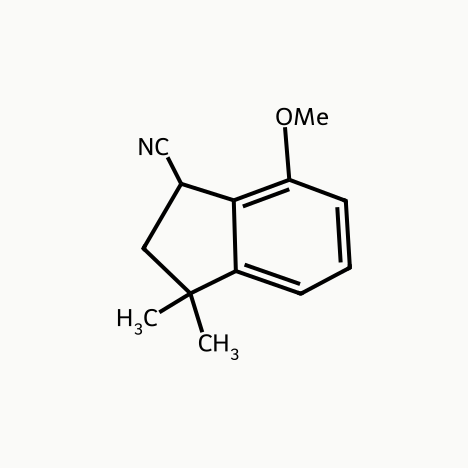 COc1cccc2c1C(C#N)CC2(C)C